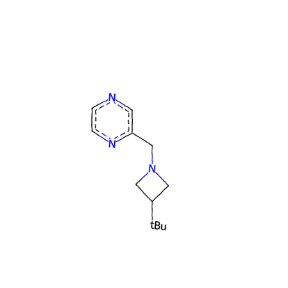 CC(C)(C)C1CN(Cc2cnccn2)C1